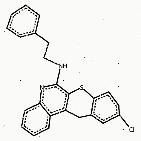 Clc1ccc2c(c1)Cc1c(c(NCCc3ccccc3)nc3ccccc13)S2